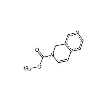 CC(C)(C)OC(=O)N1C=Cc2ccncc2C1